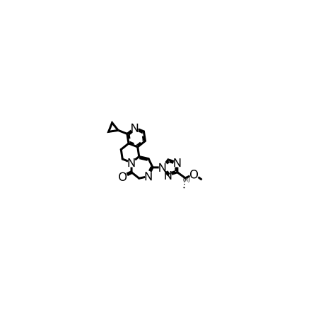 CO[C@H](C)c1ncn(C2=NCC(=O)N3CCc4c(ccnc4C4CC4)C3=C2)n1